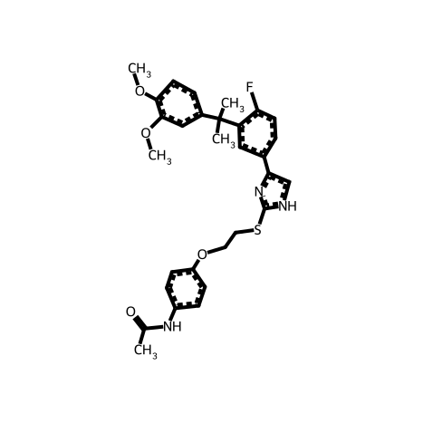 COc1ccc(C(C)(C)c2cc(-c3c[nH]c(SCCOc4ccc(NC(C)=O)cc4)n3)ccc2F)cc1OC